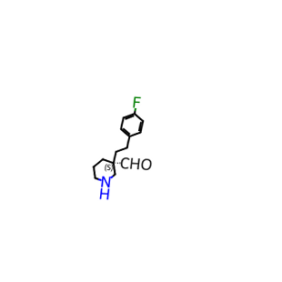 O=C[C@@]1(CCc2ccc(F)cc2)CCCNC1